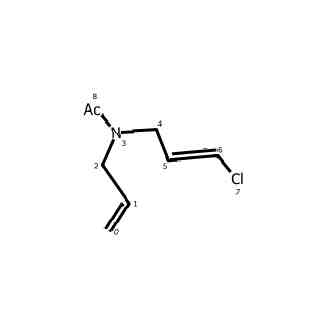 C=CCN(CC=CCl)C(C)=O